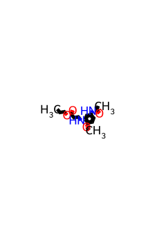 CCCOC(=O)CCNc1cc(NC(C)=O)ccc1OC